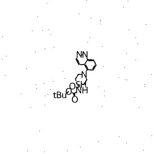 CC(C)(C)OC(=O)N[SH]1(=O)CCN(c2cccc3nnccc23)CC1